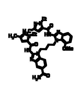 CCn1nc(C)cc1C(=O)Nc1nc2cc(C(N)=O)ccc2n1CCCCn1c(NC(=O)c2cc(C)nn2CC)nc2cccc(OC)c21